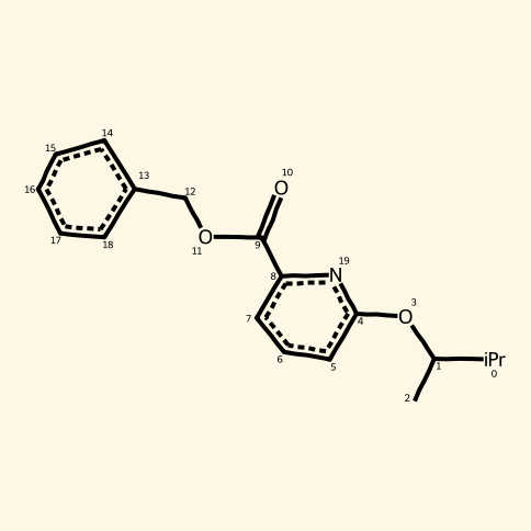 CC(C)C(C)Oc1cccc(C(=O)OCc2ccccc2)n1